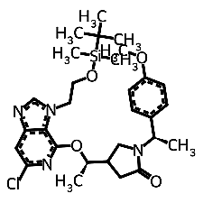 COc1ccc([C@@H](C)N2CC([C@@H](C)Oc3nc(Cl)cc4ncn(CCO[Si](C)(C)C(C)(C)C)c34)CC2=O)cc1